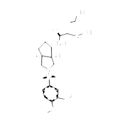 CCC[C@H](NC)C(=O)N[C@H]1CC[C@@H]2CN(S(=O)(=O)c3ccc(OC)c(OC)c3)C[C@@H]21